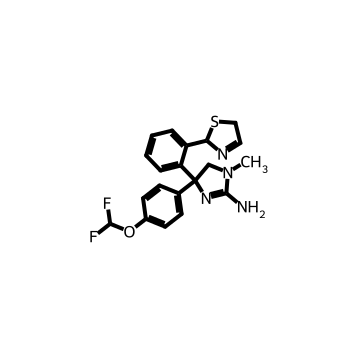 CN1CC(c2ccc(OC(F)F)cc2)(c2ccccc2C2N=CCS2)N=C1N